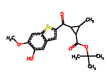 COc1cc2sc(C(=O)C3C(C)C3C(=O)OC(C)(C)C)cc2cc1O